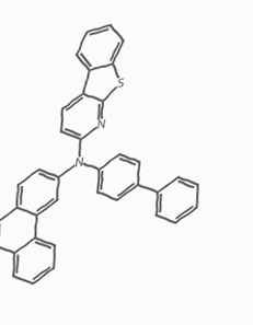 c1ccc(-c2ccc(N(c3ccc4ccc5ccccc5c4c3)c3ccc4c(n3)sc3ccccc34)cc2)cc1